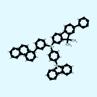 CC1(C)c2cc(-c3ccccc3)ccc2-c2ccc(N(c3ccc(-n4c5ccccc5c5ccccc54)cc3)c3cccc(-c4cccc5c4ccc4ccccc45)c3)cc21